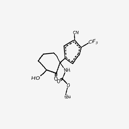 CC(C)(C)OC(=O)NC1(c2ccc(C(F)(F)F)c(C#N)c2)CCCC(O)C1=O